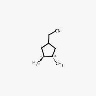 C[C@H]1CC(CC#N)C[C@@H]1C